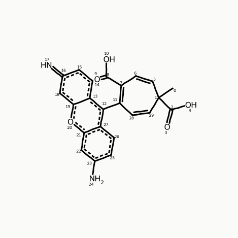 CC1(C(=O)O)C=CC(C(=O)O)=C(c2c3ccc(=N)cc-3oc3cc(N)ccc23)C=C1